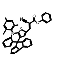 Cc1cc(C)c(N2c3ccccc3C3(c4ccccc4-c4ccccc43)c3cc(/C=C(\C#N)C(=O)Oc4ccccc4)sc32)c(C)c1